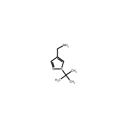 CC(C)(C)n1cc(CN)cn1